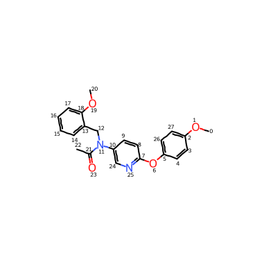 COc1ccc(Oc2ccc(N(Cc3ccccc3OC)C(C)=O)cn2)cc1